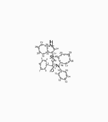 O=S(=O)(c1ccccc1)N(c1ccccc1)c1ccccc1[Se]c1c[nH]c2ccccc12